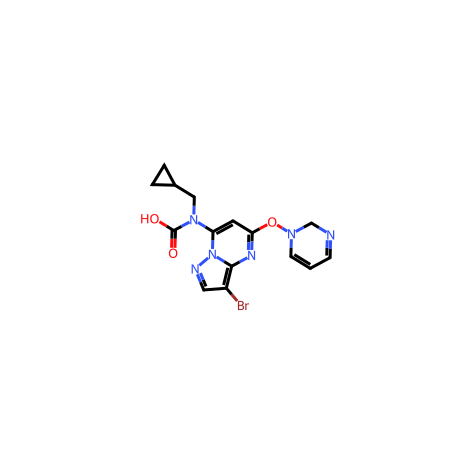 O=C(O)N(CC1CC1)c1cc(ON2C=CC=NC2)nc2c(Br)cnn12